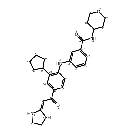 O=C(N=C1NCCN1)c1ccc(Nc2cccc(C(=O)NC3CCOCC3)c2)c(C2CCCC2)c1